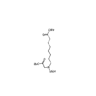 CCCCCCCCCN(CCCCCCCC(=O)OC)CC(=O)OCC(C)C